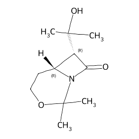 CC(C)(O)[C@@H]1C(=O)N2[C@@H]1CCOC2(C)C